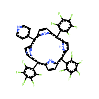 Fc1c(F)c(F)c(-c2c3nc(c(-c4c(F)c(F)c(F)c(F)c4F)c4ccc([nH]4)c(-c4c(F)c(F)c(F)c(F)c4F)c4nc(c(-c5ccncc5)c5ccc2[nH]5)C=C4)C=C3)c(F)c1F